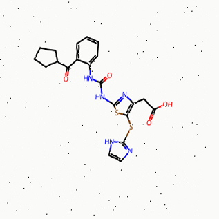 O=C(O)Cc1nc(NC(=O)Nc2ccccc2C(=O)C2CCCC2)sc1Sc1ncc[nH]1